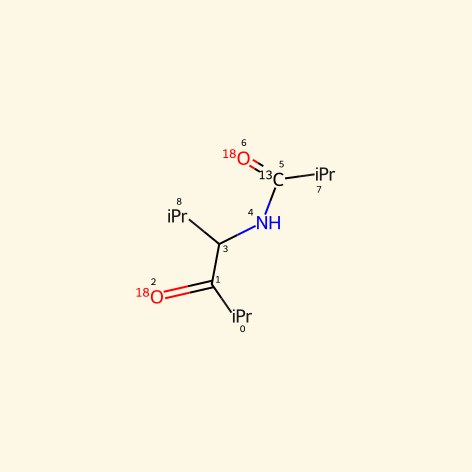 CC(C)C(=[18O])C(N[13C](=[18O])C(C)C)C(C)C